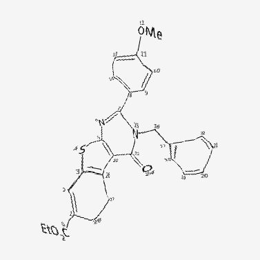 CCOC(=O)C1=Cc2sc3nc(-c4ccc(OC)cc4)n(Cc4ccccc4)c(=O)c3c2CC1